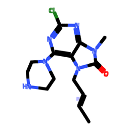 C/C=C/Cn1c(=O)n(C)c2nc(Cl)nc(N3CCNCC3)c21